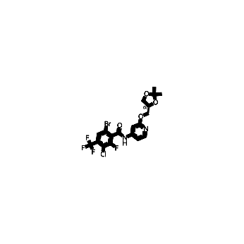 CC1(C)OC[C@H](COc2cc(NC(=O)c3c(Br)cc(C(F)(F)F)c(Cl)c3F)ccn2)O1